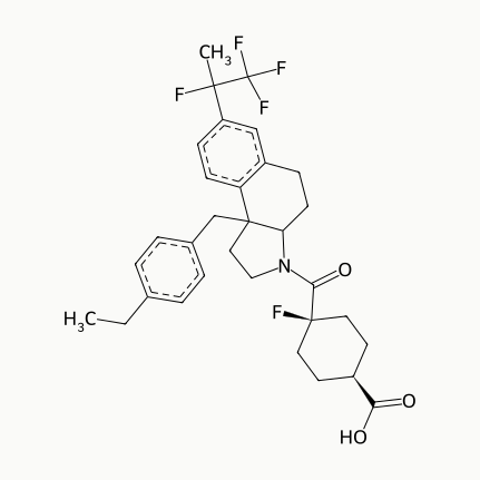 CCc1ccc(CC23CCN(C(=O)[C@]4(F)CC[C@@H](C(=O)O)CC4)C2CCc2cc(C(C)(F)C(F)(F)F)ccc23)cc1